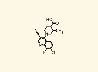 CC1CN(c2c(C#N)cnc3c(F)c(Cl)ccc23)CCC1C(=O)O